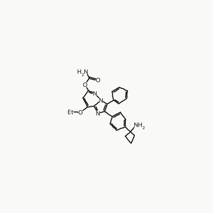 CCOc1cc(OC(N)=O)nn2c(-c3ccccc3)c(-c3ccc(C4(N)CCC4)cc3)nc12